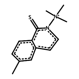 Cc1ccc2c(=S)n([N+](C)(C)C)ccc2c1